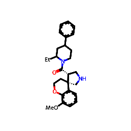 CCC1CC(c2ccccc2)CCN1C(=O)[C@@H]1CNC[C@]12CCOc1c(OC)cccc12